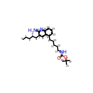 CCCCCc1cc2c(CCCCCNC(=O)OC(C)(C)C)cccc2nc1N